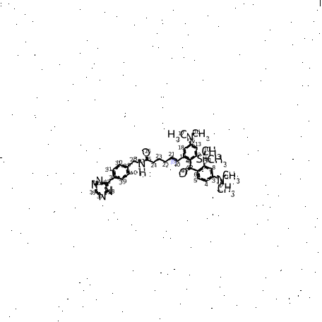 CN(C)c1ccc2c(c1)[Si](C)(C)c1cc(N(C)C)cc(/C=C/CCCC(=O)NCc3ccc(-c4nncnn4)cc3)c1C2=O